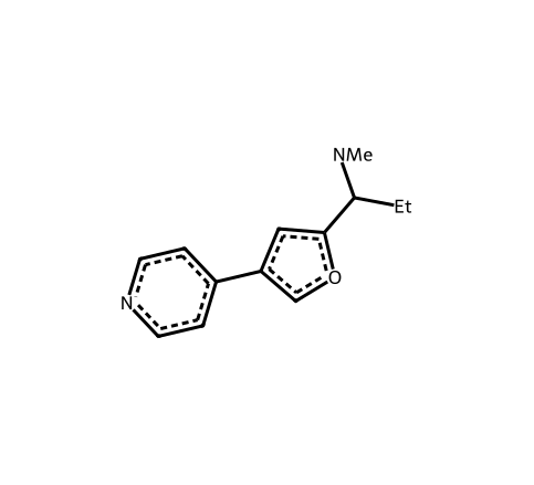 CCC(NC)c1cc(-c2ccncc2)co1